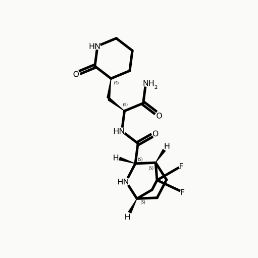 NC(=O)[C@H](C[C@@H]1CCCNC1=O)NC(=O)[C@H]1N[C@H]2CC[C@@H]1C(F)(F)C2